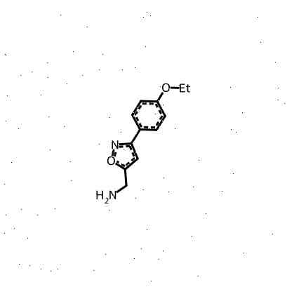 CCOc1ccc(-c2cc(CN)on2)cc1